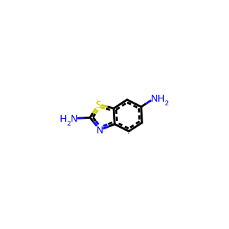 Nc1c[c]c2nc(N)sc2c1